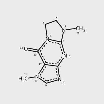 CN1CCn2c1nc1ncn(C)c1c2=O